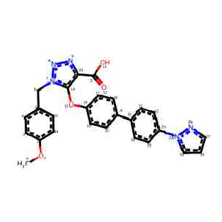 COc1ccc(Cn2nnc(C(=O)O)c2Oc2ccc(-c3ccc(-n4cccn4)cc3)cc2)cc1